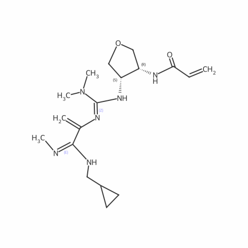 C=CC(=O)N[C@H]1COC[C@H]1N/C(=N/C(=C)/C(=N\C)NCC1CC1)N(C)C